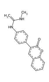 C=C(NC)Nc1ccc(-c2cc3ccccc3oc2=O)cc1